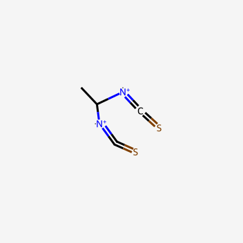 CC([N+]=C=S)[N+]=C=S